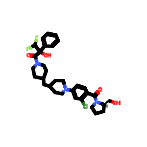 O=C(c1ccc(N2CCC(CC3CCN(C(=O)C(O)(c4ccccc4)C(F)F)CC3)CC2)cc1Cl)N1CCC[C@H]1CO